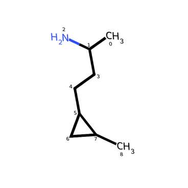 CC(N)CCC1CC1C